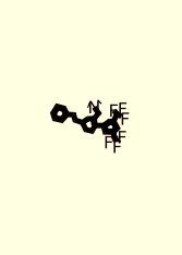 CN(C)CC1=C(c2cc(C(F)(F)F)cc(C(F)(F)F)c2)CCC(CCc2ccccc2)C1